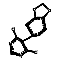 Clc1ncnc(Cl)c1-c1ccc2c(c1)OCO2